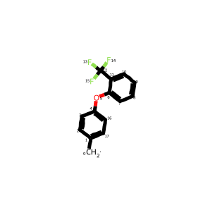 [CH2]c1ccc(Oc2ccccc2C(F)(F)F)cc1